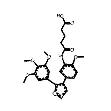 COc1ccc(-c2cnoc2-c2cc(OC)c(OC)c(OC)c2)cc1NC(=O)CCCC(=O)O